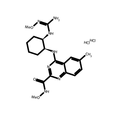 CO/N=C(/N)N[C@@H]1CCCC[C@@H]1Nc1nc(C(=O)NOC)nc2ccc(C)cc12.Cl.Cl